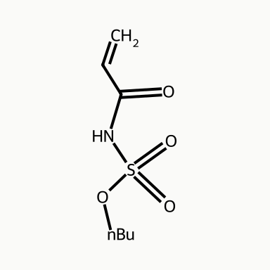 C=CC(=O)NS(=O)(=O)OCCCC